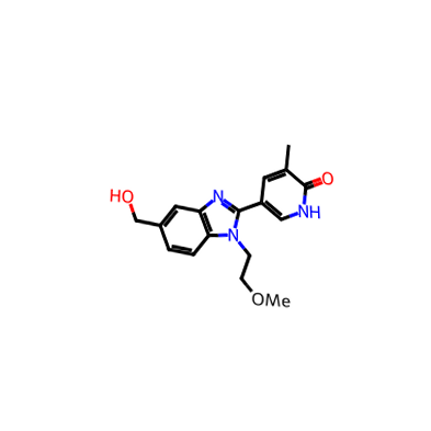 COCCn1c(-c2c[nH]c(=O)c(C)c2)nc2cc(CO)ccc21